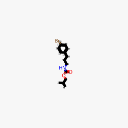 CC(C)COC(=O)NCCCc1ccc(Br)cc1